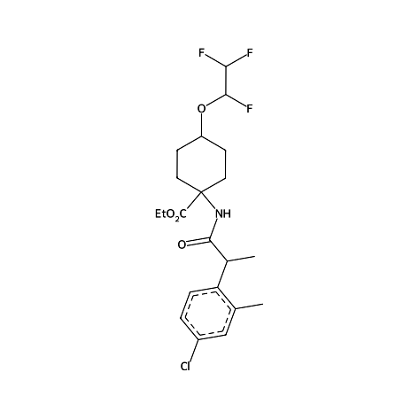 CCOC(=O)C1(NC(=O)C(C)c2ccc(Cl)cc2C)CCC(OC(F)C(F)F)CC1